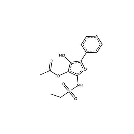 CCS(=O)(=O)Nc1oc(-c2ccncc2)c(O)c1OC(C)=O